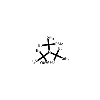 CCC([SiH3])(OC)N(C([SiH3])(CC)OC)C([SiH3])(CC)OC